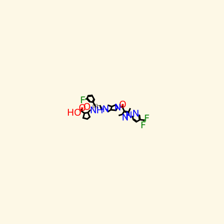 Cc1nn(-c2ccc(C(F)F)cn2)c(C)c1C(=O)N1CC2CN(CC[C@H](NC(=O)C3CCCC3C(=O)O)c3cccc(F)c3)CC2C1